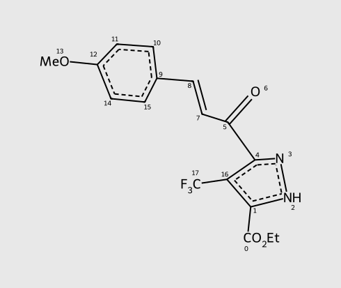 CCOC(=O)c1[nH]nc(C(=O)C=Cc2ccc(OC)cc2)c1C(F)(F)F